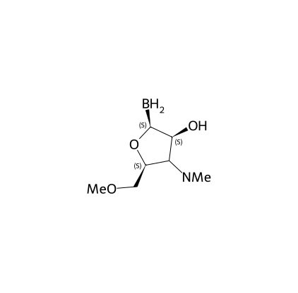 B[C@@H]1O[C@H](COC)C(NC)[C@@H]1O